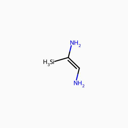 NC=C(N)[SiH3]